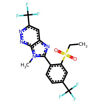 CCS(=O)(=O)c1cc(C(F)(F)F)ccc1-c1nc2cc(C(F)(F)F)nnc2n1C